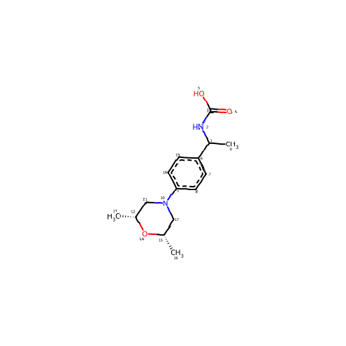 CC(NC(=O)O)c1ccc(N2C[C@@H](C)O[C@@H](C)C2)cc1